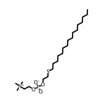 CCCCCCCCCCCCCCCCSCCOP(=O)([O-])OCC[N+](C)(C)C